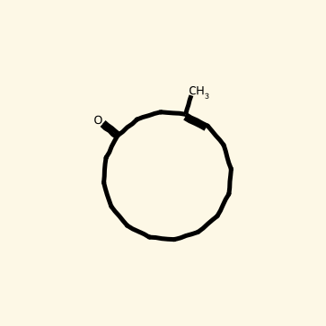 CC1=CCCCCCCCCCCCC(=O)CC1